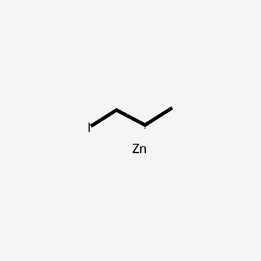 C[CH]CI.[Zn]